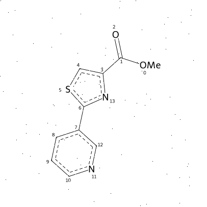 COC(=O)c1csc(-c2cccnc2)n1